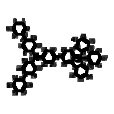 c1ccc(-c2ccc(N(c3ccc(-c4ccccc4)cc3)c3ccc(-c4ccc5c(c4)-c4ccccc4[Si]5(c4ccccc4)c4ccccc4)cc3)cc2)cc1